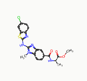 COC(=O)[C@@H](C)NC(=O)c1ccc2c(c1)nc(Nc1nc3ccc(Cl)cc3s1)n2C